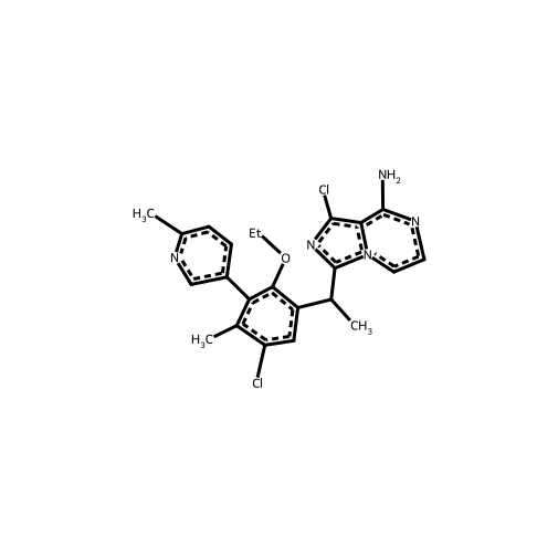 CCOc1c(C(C)c2nc(Cl)c3c(N)nccn23)cc(Cl)c(C)c1-c1ccc(C)nc1